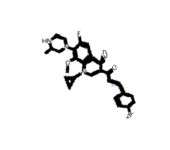 COc1c(N2CCNC(C)C2)c(F)cc2c(=O)c(C(=O)/C=C/c3ccc(Br)cc3)cn(C3CC3)c12